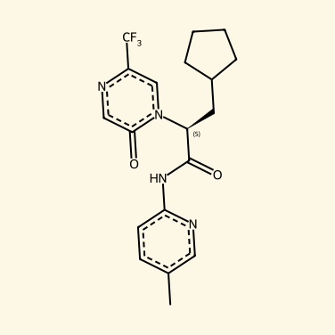 Cc1ccc(NC(=O)[C@H](CC2CCCC2)n2cc(C(F)(F)F)ncc2=O)nc1